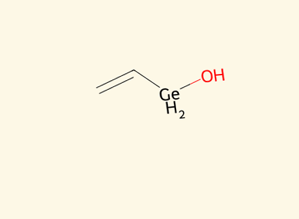 C=[CH][GeH2][OH]